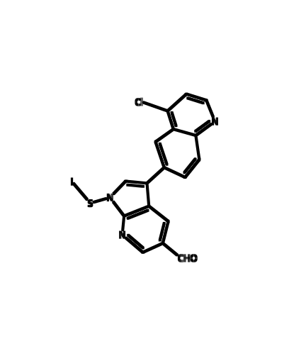 O=Cc1cnc2c(c1)c(-c1ccc3nccc(Cl)c3c1)cn2SI